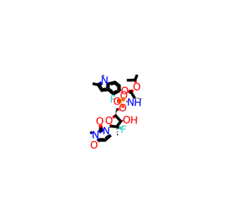 Cc1cc2c(F)c(O[P@@](=O)(N[C@@H](C)C(=O)OC(C)C)OC[C@H]3O[C@@H](n4ccc(=O)n(C)c4=O)[C@](C)(F)[C@@H]3O)ccc2n1C